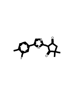 Cc1ccc(-c2csc(C3C(=O)CC(C)(C)C3=O)n2)cc1F